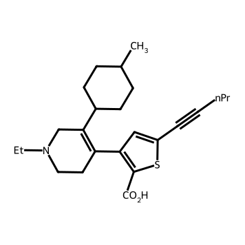 CCCC#Cc1cc(C2=C(C3CCC(C)CC3)CN(CC)CC2)c(C(=O)O)s1